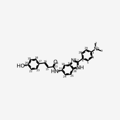 CN(C)c1ccc(-c2nc3cc(NC(=O)C=Cc4ccc(O)cc4)ccc3[nH]2)cc1